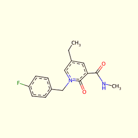 CCc1cc(C(=O)NC)c(=O)n(Cc2ccc(F)cc2)c1